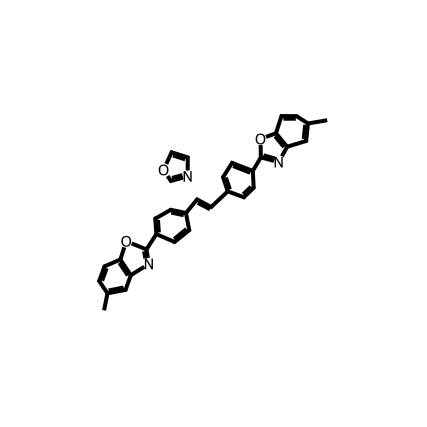 Cc1ccc2oc(-c3ccc(C=Cc4ccc(-c5nc6cc(C)ccc6o5)cc4)cc3)nc2c1.c1cocn1